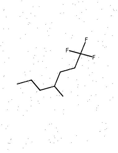 CCCC(C)CCC(F)(F)F